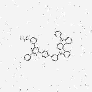 Cc1cccc(-c2nc(-c3ccccc3)nc(-c3ccc(-c4cccc(-n5c6ccccc6c6c7c8ccccc8n(-c8ccccc8)c7ccc65)c4)cc3)n2)c1